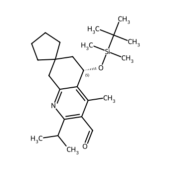 Cc1c(C=O)c(C(C)C)nc2c1[C@@H](O[Si](C)(C)C(C)(C)C)CC1(CCCC1)C2